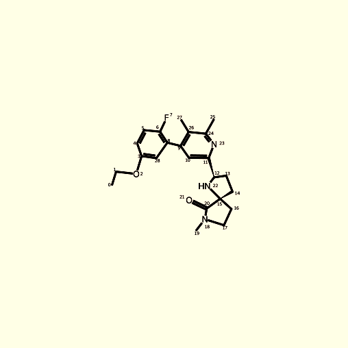 CCOc1ccc(F)c(-c2cc([C@H]3CC[C@]4(CCN(C)C4=O)N3)nc(C)c2C)c1